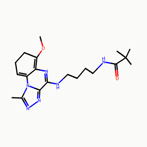 COC1=c2nc(NCCCCNC(=O)C(C)(C)C)c3nnc(C)n3c2=CCC1